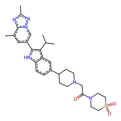 Cc1nc2c(C)cc(-c3[nH]c4ccc(C5CCN(CC(=O)N6CCS(=O)(=O)CC6)CC5)cc4c3C(C)C)cn2n1